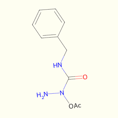 CC(=O)ON(N)C(=O)NCc1ccccc1